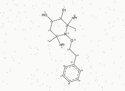 CCCC1(C)CC(O)C(CC)C(C)(CCC)N1OCCc1ccccc1